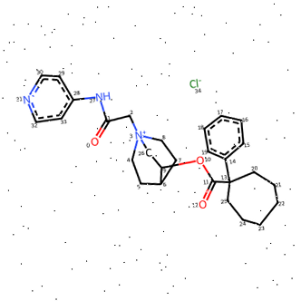 O=C(C[N+]12CCC(CC1)C(OC(=O)C1(c3ccccc3)CCCCCC1)C2)Nc1ccncc1.[Cl-]